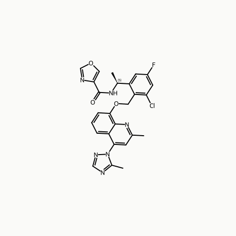 Cc1cc(-n2ncnc2C)c2cccc(OCc3c(Cl)cc(F)cc3[C@H](C)NC(=O)c3cocn3)c2n1